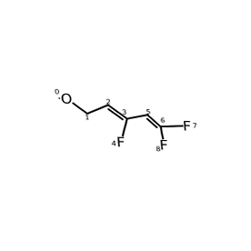 [O]C/C=C(\F)C=C(F)F